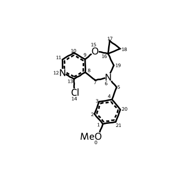 COc1ccc(CN2Cc3c(ccnc3Cl)OC3(CC3)C2)cc1